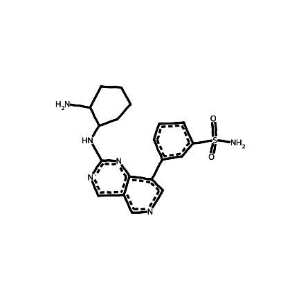 NC1CCCCC1Nc1ncc2cncc(-c3cccc(S(N)(=O)=O)c3)c2n1